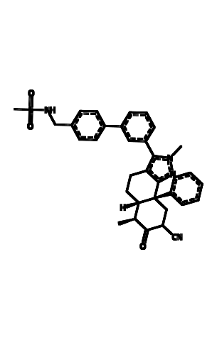 C[C@@H]1C(=O)C(C#N)C[C@@]2(c3ccccc3)c3nn(C)c(-c4cccc(-c5ccc(CNS(C)(=O)=O)cc5)c4)c3CC[C@@H]12